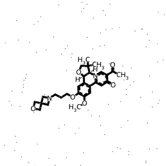 COc1cc2c(cc1OCCCN1CC3(COC3)C1)[C@H]1OCC(C)(C)[C@H]1n1cc(C(C)=O)c(=O)cc1-2